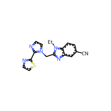 CCn1c(Cn2ccnc2-c2nccs2)nc2cc(C#N)ccc21